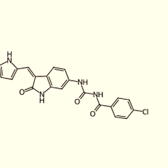 O=C(NC(=O)c1ccc(Cl)cc1)Nc1ccc2c(c1)NC(=O)C2=Cc1ccc[nH]1